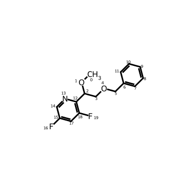 COC(COCc1ccccc1)c1ncc(F)cc1F